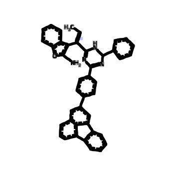 C/C=C(/C1=NC(c2ccc(-c3cc4c5c(cccc5c3)-c3ccccc3-4)cc2)=NC(c2ccccc2)N1)c1c(N)oc2ccccc12